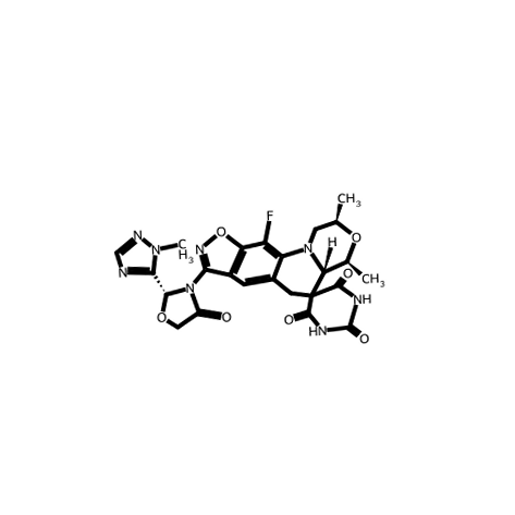 C[C@@H]1CN2c3c(cc4c(N5C(=O)CO[C@@H]5c5ncnn5C)noc4c3F)CC3(C(=O)NC(=O)NC3=O)[C@H]2[C@H](C)O1